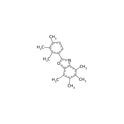 Cc1ccc(-c2nc3c(C)c(C)c(C)c(C)c3o2)c(C)c1C